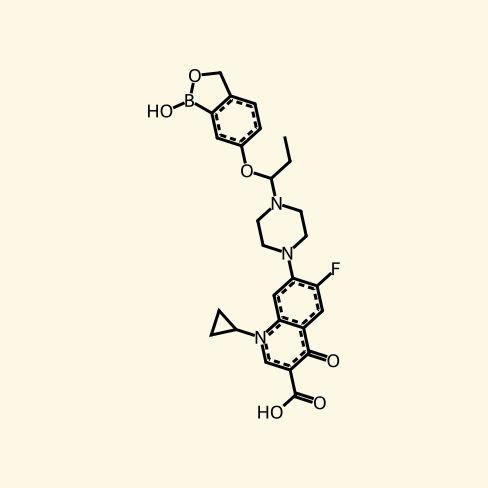 CCC(Oc1ccc2c(c1)B(O)OC2)N1CCN(c2cc3c(cc2F)c(=O)c(C(=O)O)cn3C2CC2)CC1